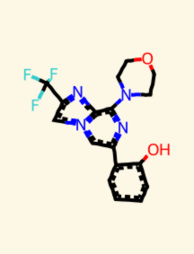 Oc1ccccc1-c1cn2cc(C(F)(F)F)nc2c(N2CCOCC2)n1